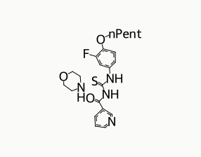 C1COCCN1.CCCCCOc1ccc(NC(=S)NC(=O)c2cccnc2)cc1F